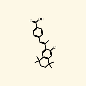 CC(=Cc1ccc(C(=O)O)cc1)c1cc2c(cc1Cl)C(C)(C)CCC2(C)C